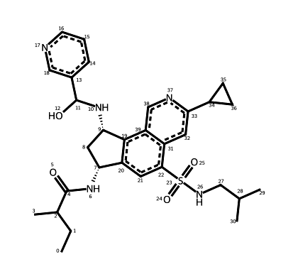 CCC(C)C(=O)N[C@@H]1C[C@H](NC(O)c2cccnc2)c2c1cc(S(=O)(=O)NCC(C)C)c1cc(C3CC3)ncc21